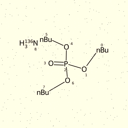 CCCCOP(=O)(OCCCC)OCCCC.[136NH3]